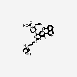 N#CC[C@H]1CN(c2nc(OCCCN3C[C@@H]4C[C@H]3CO4)nc3c(F)c(-c4cncc5cccc(Cl)c45)ncc23)CCN1C(=O)O